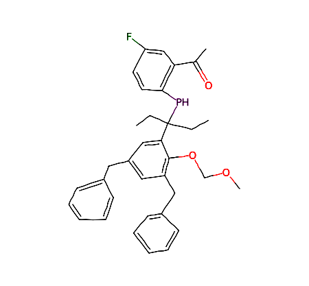 CCC(CC)(Pc1ccc(F)cc1C(C)=O)c1cc(Cc2ccccc2)cc(Cc2ccccc2)c1OCOC